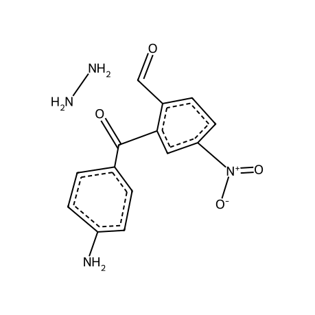 NN.Nc1ccc(C(=O)c2cc([N+](=O)[O-])ccc2C=O)cc1